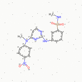 CNS(=O)(=O)c1cccc(Nc2nccc(N(C)c3ccc([N+](=O)[O-])cc3)n2)c1